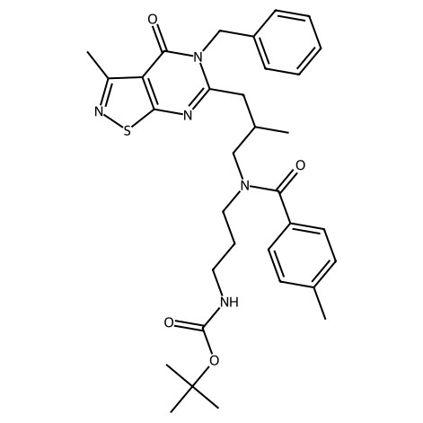 Cc1ccc(C(=O)N(CCCNC(=O)OC(C)(C)C)CC(C)Cc2nc3snc(C)c3c(=O)n2Cc2ccccc2)cc1